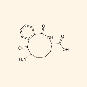 NC1CCC[C@@H](C(=O)O)NC(=O)c2ccccc2C1=O